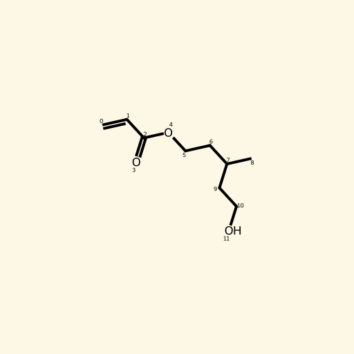 C=CC(=O)OCCC(C)CCO